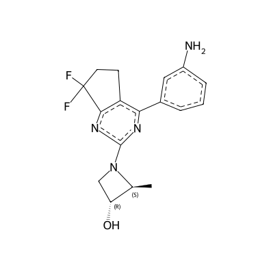 C[C@H]1[C@H](O)CN1c1nc(-c2cccc(N)c2)c2c(n1)C(F)(F)CC2